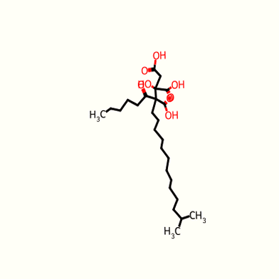 CCCCCC(=O)C(CCCCCCCCCCCC(C)C)(C(=O)O)C(O)(CC(=O)O)C(=O)O